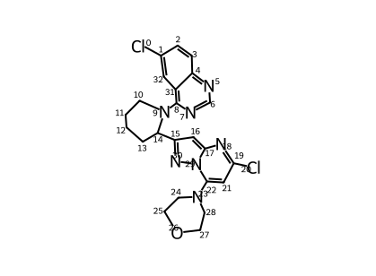 Clc1ccc2ncnc(N3CCCCC3c3cc4nc(Cl)cc(N5CCOCC5)n4n3)c2c1